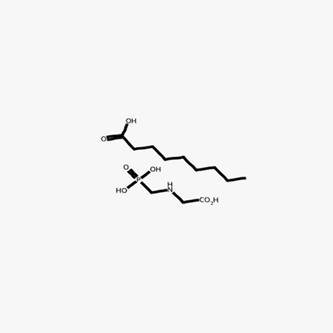 CCCCCCCCC(=O)O.O=C(O)CNCP(=O)(O)O